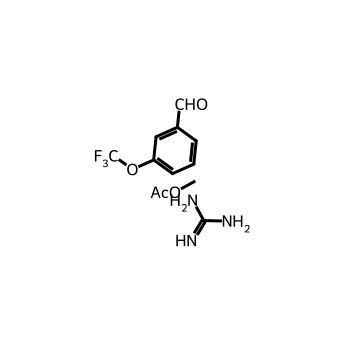 COC(C)=O.N=C(N)N.O=Cc1cccc(OC(F)(F)F)c1